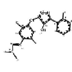 Cc1cc(Oc2snc(-c3ccccc3C)c2C#N)c(C)cc1N=CN(C)C